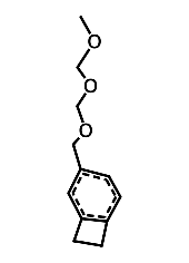 COCOCOCc1ccc2c(c1)CC2